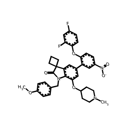 COc1ccc(CN2C(=O)C3(CCC3)c3cc(-c4cc([N+](=O)[O-])ccc4Oc4ccc(F)cc4F)cc(OC4CCN(C)CC4)c32)cc1